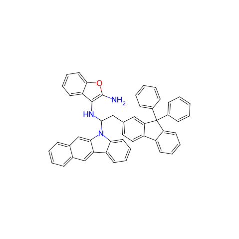 Nc1oc2ccccc2c1NC(Cc1ccc2c(c1)C(c1ccccc1)(c1ccccc1)c1ccccc1-2)n1c2ccccc2c2cc3ccccc3cc21